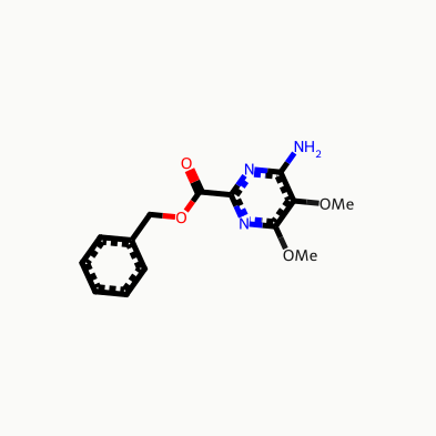 COc1nc(C(=O)OCc2ccccc2)nc(N)c1OC